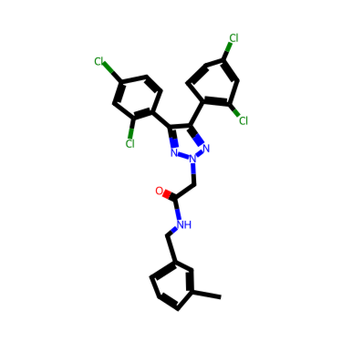 Cc1cccc(CNC(=O)Cn2nc(-c3ccc(Cl)cc3Cl)c(-c3ccc(Cl)cc3Cl)n2)c1